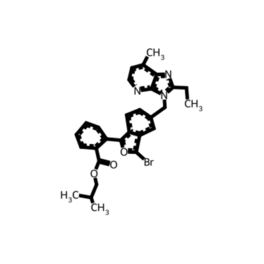 CCc1nc2c(C)ccnc2n1Cc1ccc2c(-c3ccccc3C(=O)OCC(C)C)oc(Br)c2c1